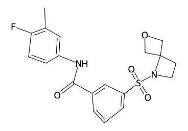 Cc1cc(NC(=O)c2cccc(S(=O)(=O)N3CCC34COC4)c2)ccc1F